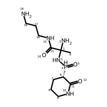 CC(N)(N[PH](=O)[C@H]1CCCNC1=O)C(=O)NCCCN